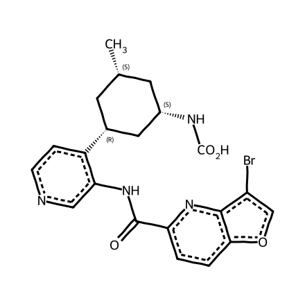 C[C@@H]1C[C@H](NC(=O)O)C[C@H](c2ccncc2NC(=O)c2ccc3occ(Br)c3n2)C1